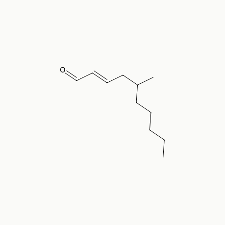 CCCCCC(C)C/C=C/C=O